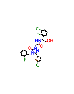 O=C(Cn1nc(-c2ccc(Cl)s2)n(Cc2ccccc2F)c1=O)NC(CO)c1cccc(Cl)c1F